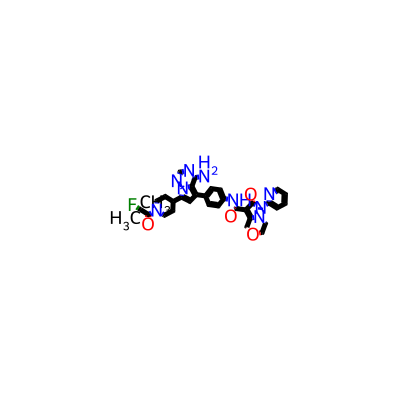 CC(C)(F)C(=O)N1CCC(c2cc(-c3ccc(NC(=O)c4c5n(n(-c6ccccn6)c4=O)CCOC5)cc3)c3c(N)ncnn23)CC1